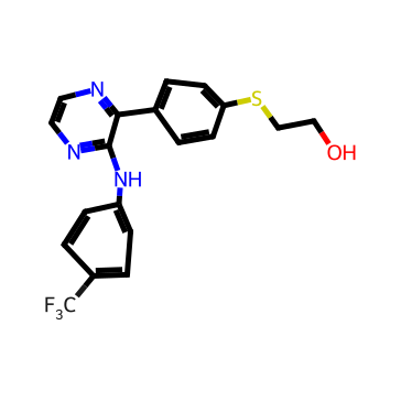 OCCSc1ccc(-c2nccnc2Nc2ccc(C(F)(F)F)cc2)cc1